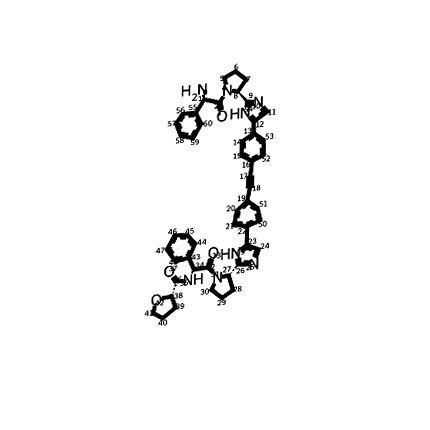 N[C@@H](C(=O)N1CCC[C@H]1c1ncc(-c2ccc(C#Cc3ccc(-c4cnc([C@@H]5CCCN5C(=O)[C@H](NC(=O)[C@@H]5CCCO5)c5ccccc5)[nH]4)cc3)cc2)[nH]1)c1ccccc1